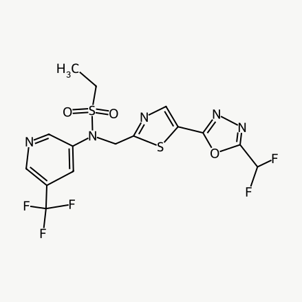 CCS(=O)(=O)N(Cc1ncc(-c2nnc(C(F)F)o2)s1)c1cncc(C(F)(F)F)c1